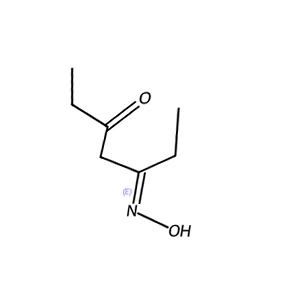 CCC(=O)C/C(CC)=N/O